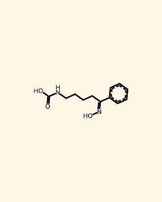 O=C(O)NCCCCC(=NO)c1ccccc1